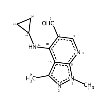 Cc1nn(C)c2ncc(C=O)c(NC3CC3)c12